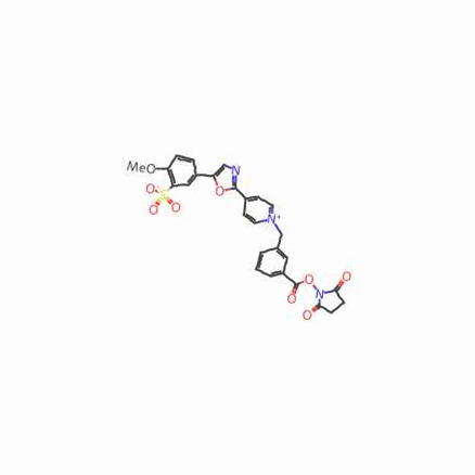 COc1ccc(-c2cnc(-c3cc[n+](Cc4cccc(C(=O)ON5C(=O)CCC5=O)c4)cc3)o2)cc1S(=O)(=O)[O-]